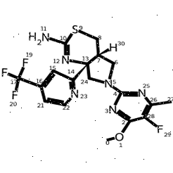 COc1nc(N2C[C@H]3CSC(N)=N[C@@]3(c3cc(C(F)(F)F)ccn3)C2)nc(C)c1F